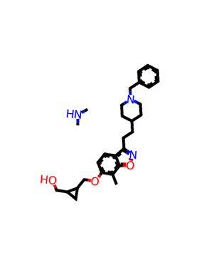 CNC.Cc1c(OCC2CC2CO)ccc2c(CCC3CCN(Cc4ccccc4)CC3)noc12